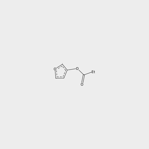 CCC(=O)Oc1[c]occ1